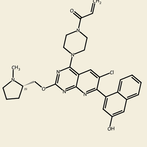 C=CC(=O)N1CCN(c2nc(OC[C@@H]3CCCN3C)nc3nc(-c4cc(O)cc5ccccc45)c(Cl)cc23)CC1